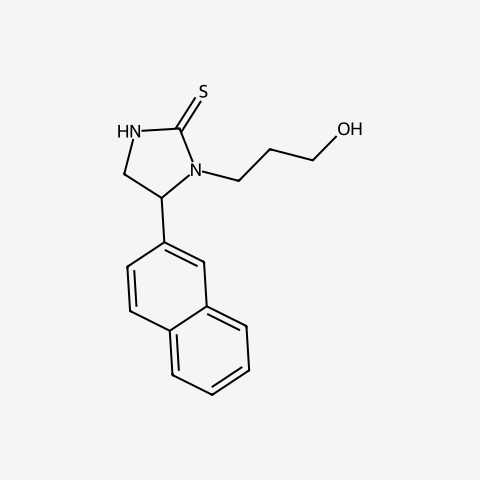 OCCCN1C(=S)NCC1c1ccc2ccccc2c1